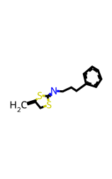 C=C1CSC(=NCCCc2ccccc2)S1